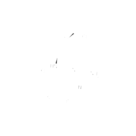 Cc1ccsc1-c1c(Cl)nc(N)nc1N[C@H]1CC[C@@H](CO)C1